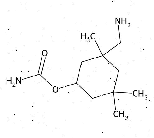 CC1(C)CC(OC(N)=O)CC(C)(CN)C1